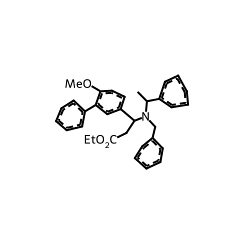 CCOC(=O)CC(c1ccc(OC)c(-c2ccccc2)c1)N(Cc1ccccc1)C(C)c1ccccc1